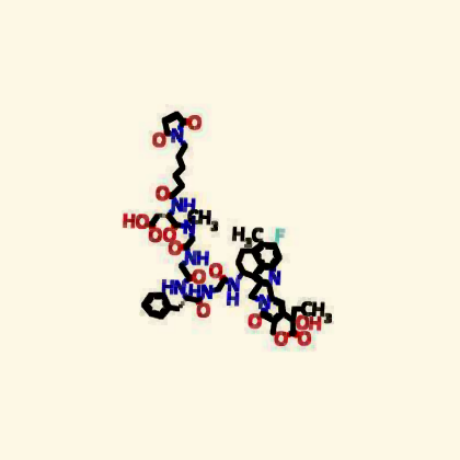 CC[C@@]1(O)C(=O)OCc2c1cc1n(c2=O)Cc2c-1nc1cc(F)c(C)c3c1c2[C@@H](NC(=O)CNC(=O)[C@H](Cc1ccccc1)NC(=O)CNC(=O)CN(C)C(=O)[C@H](CC(=O)O)NC(=O)CCCCCN1C(=O)C=CC1=O)CC3